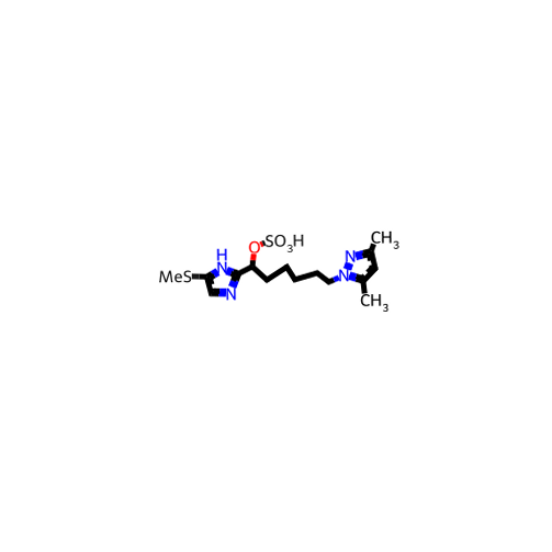 CSc1cnc(C(CCCCCn2nc(C)cc2C)OS(=O)(=O)O)[nH]1